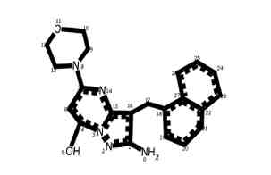 Nc1nn2c(O)cc(N3CCOCC3)nc2c1Cc1cccc2ccccc12